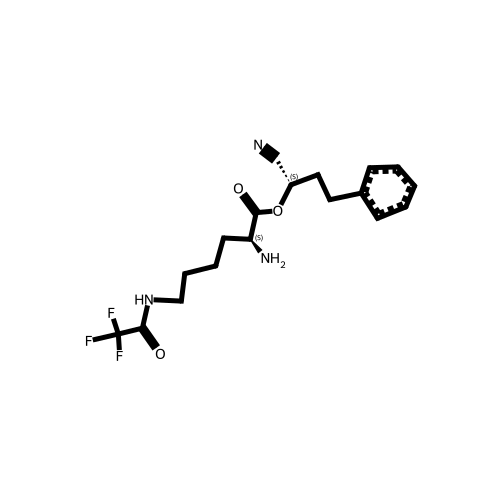 N#C[C@H](CCc1ccccc1)OC(=O)[C@@H](N)CCCCNC(=O)C(F)(F)F